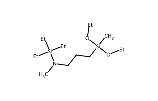 CCO[Si](C)(CCCN(C)[Si](CC)(CC)CC)OCC